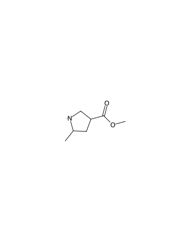 COC(=O)C1C[N]C(C)C1